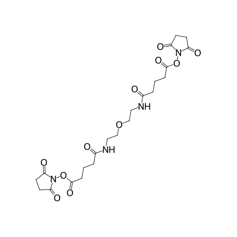 O=C(CCCC(=O)ON1C(=O)CCC1=O)NCCOCCNC(=O)CCCC(=O)ON1C(=O)CCC1=O